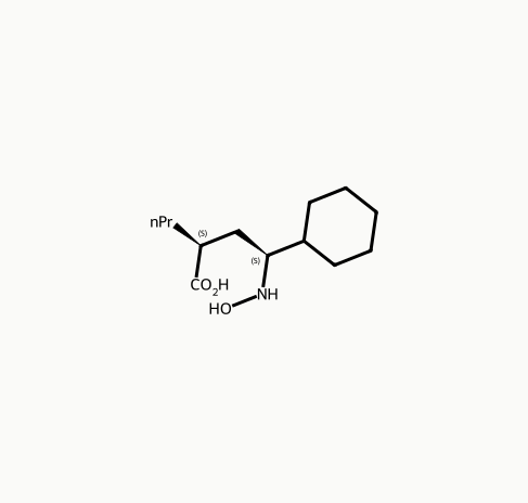 CCC[C@@H](C[C@H](NO)C1CCCCC1)C(=O)O